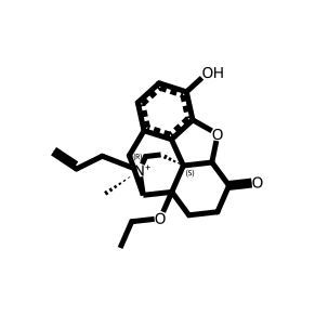 C=CC[N@@+]1(C)CC[C@]23c4c5ccc(O)c4OC2C(=O)CCC3(OCC)C1C5